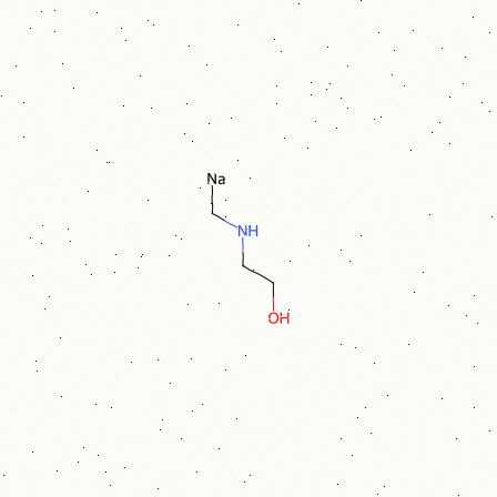 OCCN[CH2][Na]